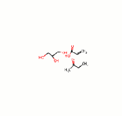 C=CC(=O)O.CCC(C)=O.OCC(O)CO